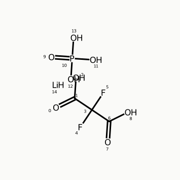 O=C(O)C(F)(F)C(=O)O.O=P(O)(O)O.[LiH]